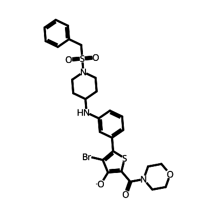 [O]c1c(C(=O)N2CCOCC2)sc(-c2cccc(NC3CCN(S(=O)(=O)Cc4ccccc4)CC3)c2)c1Br